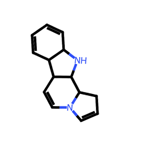 C1=CC2NC3C(C=CN4C=CCC34)C2C=C1